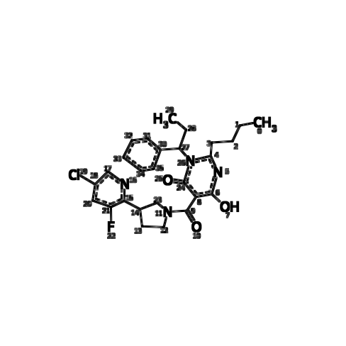 CCCCc1nc(O)c(C(=O)N2CCC(c3ncc(Cl)cc3F)C2)c(=O)n1C(CC)c1ccccc1